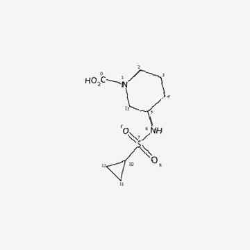 O=C(O)N1CCCC(NS(=O)(=O)C2CC2)C1